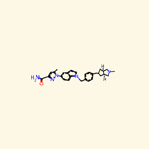 Cc1cc(C(N)=O)nn1-c1ccc2c(ccn2Cc2ccc(C3C[C@@H]4CN(C)C[C@@H]4C3)cc2)c1